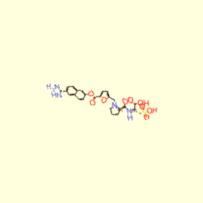 N=C(N)c1ccc2cc(OC(=O)c3ccc(CN4CCC[C@@H]4C(=O)N[C@@H](CS(=O)(=O)O)C(=O)O)o3)ccc2c1